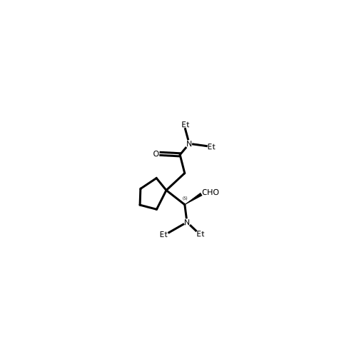 CCN(CC)C(=O)CC1([C@@H](C=O)N(CC)CC)CCCC1